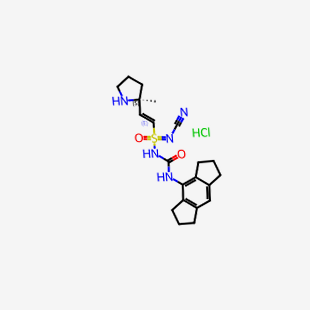 C[C@@]1(/C=C/S(=O)(=NC#N)NC(=O)Nc2c3c(cc4c2CCC4)CCC3)CCCN1.Cl